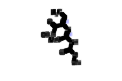 C/C=C(/N=C(/NC(=O)OC(C)(C)C)SC)C(=O)C(=O)O